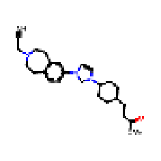 C#CCN1CCc2ccc(N3C=CN(C4CCC(CCC(=O)OC)CC4)C3)cc2CC1